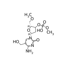 COC[C@H]1O[C@@H](n2cc(CO)c(N)nc2=O)CC1OP(=O)(O)OC